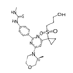 CNC(=S)Nc1ccc(-c2nc(N3CCOC[C@@H]3C)cc(C3(S(=O)(=O)CCCO)CC3)n2)cc1